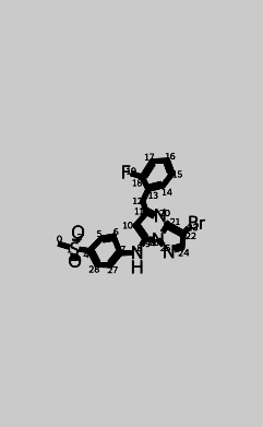 CS(=O)(=O)c1ccc(Nc2cc(Cc3ccccc3F)nc3c(Br)cnn23)cc1